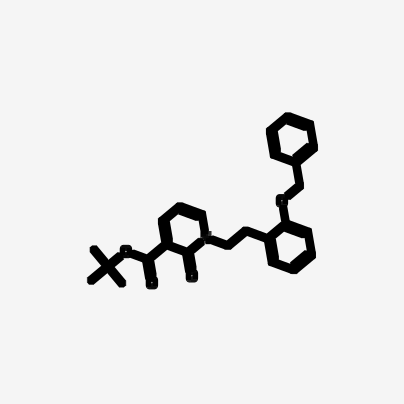 CC(C)(C)OC(=O)c1cccn(CCc2ccccc2OCc2ccccc2)c1=O